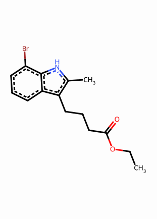 CCOC(=O)CCCc1c(C)[nH]c2c(Br)cccc12